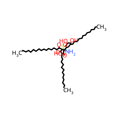 CCCCCCCCCCCCCCCC(=O)C(SCC(O)CO)(C(=O)CCCCCCCCCCCCCCC)[C@](N)(C(=O)O)C(=O)CCCCCCCCCCCCCCC